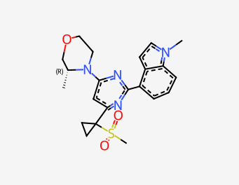 C[C@@H]1COCCN1c1cc(C2(S(C)(=O)=O)CC2)nc(-c2cccc3c2ccn3C)n1